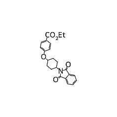 CCOC(=O)c1ccc(OC2CCC(N3C(=O)c4ccccc4C3=O)CC2)cc1